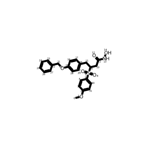 COc1ccc(S(=O)(=O)C(CC(=O)NO)Cc2ccc(OCc3ccccc3)cc2)cc1